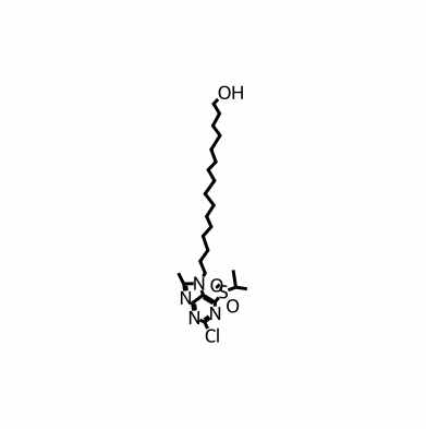 Cc1nc2nc(Cl)nc(S(=O)(=O)C(C)C)c2n1CCCCCCCCCCCCCCCCO